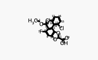 CCOC(=O)c1c(F)cc2c(c1-c1c(Cl)cccc1Cl)OC(C(=O)O)O2